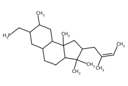 C/C=C(/C)CC1CC2(C)C3CC(C)C(CP)CC3CCC2C1(C)C